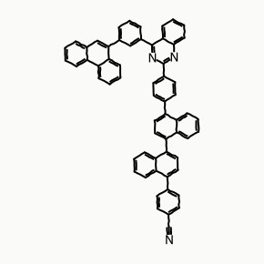 N#Cc1ccc(-c2ccc(-c3ccc(-c4ccc(-c5nc(-c6cccc(-c7cc8ccccc8c8ccccc78)c6)c6ccccc6n5)cc4)c4ccccc34)c3ccccc23)cc1